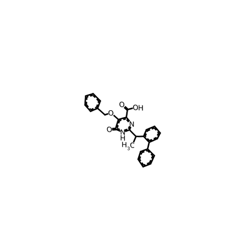 CC(c1nc(C(=O)O)c(OCc2ccccc2)c(=O)[nH]1)c1ccccc1-c1ccccc1